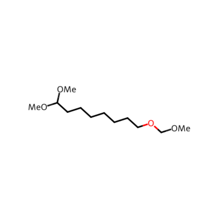 COCOCCCCCCCC(OC)OC